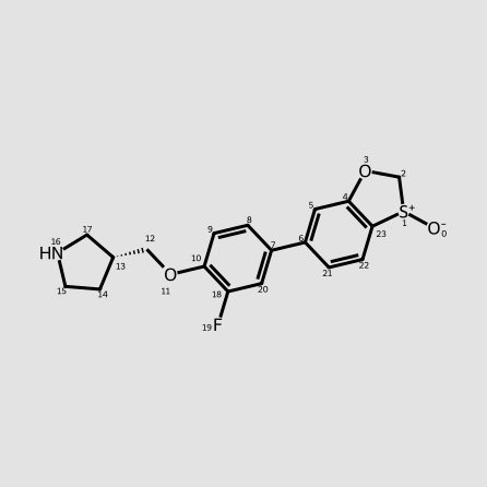 [O-][S+]1COc2cc(-c3ccc(OC[C@@H]4CCNC4)c(F)c3)ccc21